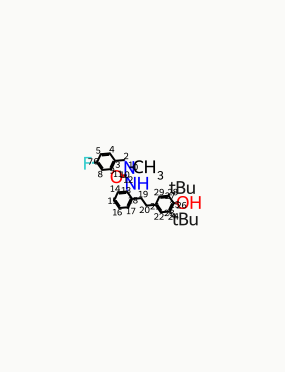 CN(Cc1ccc(F)cc1)C(=O)Nc1ccccc1CCc1cc(C(C)(C)C)c(O)c(C(C)(C)C)c1